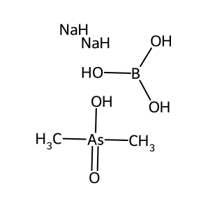 C[As](C)(=O)O.OB(O)O.[NaH].[NaH]